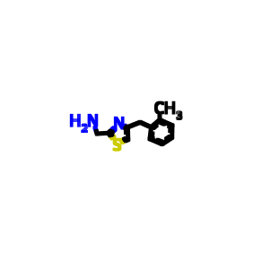 Cc1ccccc1Cc1csc(CN)n1